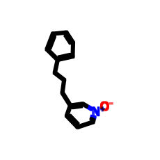 [O-][n+]1cccc(CCCc2ccccc2)c1